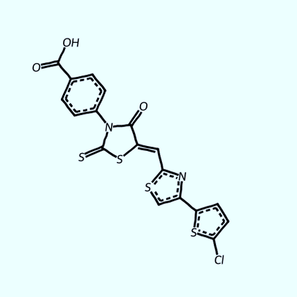 O=C(O)c1ccc(N2C(=O)C(=Cc3nc(-c4ccc(Cl)s4)cs3)SC2=S)cc1